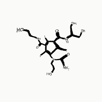 NC(=O)N(CCO)c1c(I)c(C(=O)NCCO)c(I)c(C(=O)NC(CO)CO)c1I